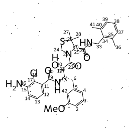 COc1cccc(C[C@H](NC(=O)c2cccc(N)c2Cl)[C@H](O)C(=O)N2CSC(C)(C)[C@H]2C(=O)NCc2c(C)cccc2C)c1